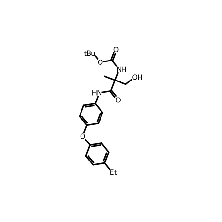 CCc1ccc(Oc2ccc(NC(=O)C(C)(CO)NC(=O)OC(C)(C)C)cc2)cc1